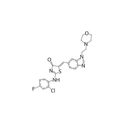 O=C1N=C(Nc2ccc(F)cc2Cl)S/C1=C\c1ccc2ncn(CCN3CCOCC3)c2c1